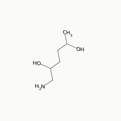 CC(O)CCC(O)CN